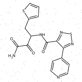 NC(=O)C(=O)C(Cc1cccs1)NC(=O)c1nsnc1-c1ccncc1